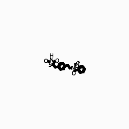 CN(C)c1ccccc1C(=O)NCCc1ccc(CC2SC(=O)NC2=O)cc1